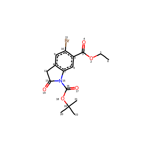 CCOC(=O)c1cc2c(cc1Br)CC(=O)N2C(=O)OC(C)(C)C